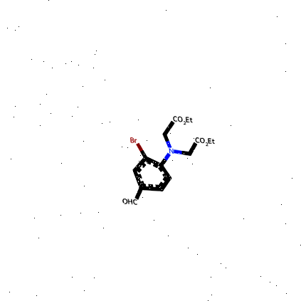 CCOC(=O)CN(CC(=O)OCC)c1ccc(C=O)cc1Br